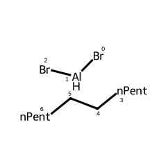 [Br][AlH][Br].[CH2]CCCCCCCCCCC